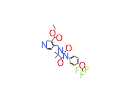 CCOC(=O)c1cnccc1CN1C(=O)N(c2ccc(OC(F)(F)F)cc2)C(=O)C1(C)C